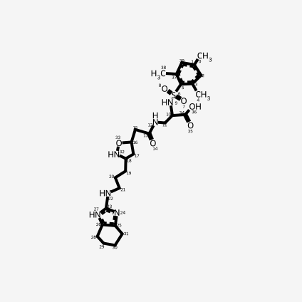 Cc1cc(C)c(S(=O)(=O)NC(CNC(=O)CC2CC(CCCNc3nc4c([nH]3)CCCC4)NO2)C(=O)O)c(C)c1